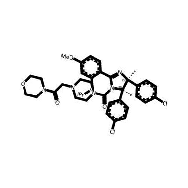 COc1ccc(C2=N[C@@](C)(c3ccc(Cl)cc3)[C@@](C)(c3ccc(Cl)cc3)N2C(=O)N2CCN(CC(=O)N3CCOCC3)CC2)c(OC(C)C)c1